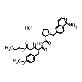 CCCOC(=O)CN[C@H](Cc1ccc(OC)cc1)C(=O)NC(=O)[C@@H]1CCCN1Cc1ccc2c(N)nccc2c1.Cl